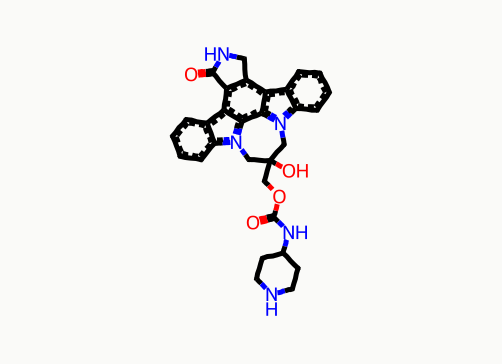 O=C(NC1CCNCC1)OCC1(O)Cn2c3ccccc3c3c4c(c5c6ccccc6n(c5c32)C1)C(=O)NC4